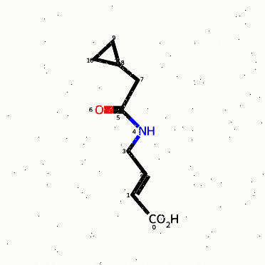 O=C(O)C=CCNC(=O)CC1CC1